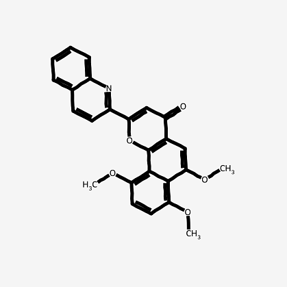 COc1ccc(OC)c2c1c(OC)cc1c(=O)cc(-c3ccc4ccccc4n3)oc12